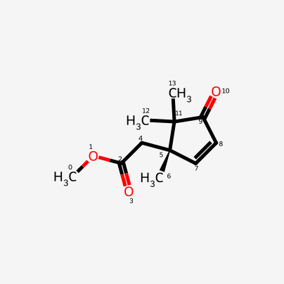 COC(=O)C[C@@]1(C)C=CC(=O)C1(C)C